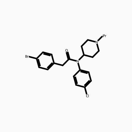 CC(C)N1CCC(N(C(=O)Cc2ccc(Br)cc2)c2ccc(Cl)cc2)CC1